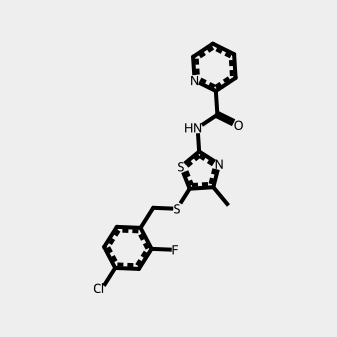 Cc1nc(NC(=O)c2ccccn2)sc1SCc1ccc(Cl)cc1F